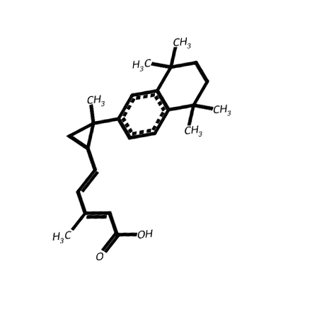 CC(C=CC1CC1(C)c1ccc2c(c1)C(C)(C)CCC2(C)C)=CC(=O)O